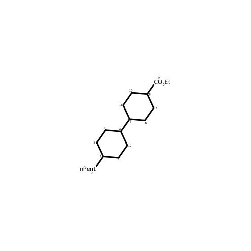 CCCCCC1CCC(C2CCC(C(=O)OCC)CC2)CC1